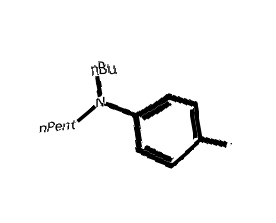 [CH2]c1ccc(N(CCCC)CCCCC)cc1